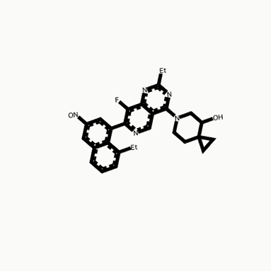 CCc1nc(N2CCC3(CC3)C(O)C2)c2cnc(-c3cc(N=O)cc4cccc(CC)c34)c(F)c2n1